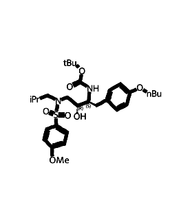 CCCCOc1ccc(C[C@H](NC(=O)OC(C)(C)C)[C@H](O)CN(CC(C)C)S(=O)(=O)c2ccc(OC)cc2)cc1